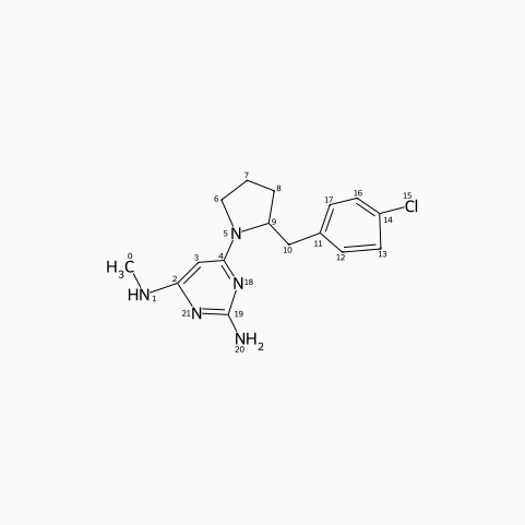 CNc1cc(N2CCCC2Cc2ccc(Cl)cc2)nc(N)n1